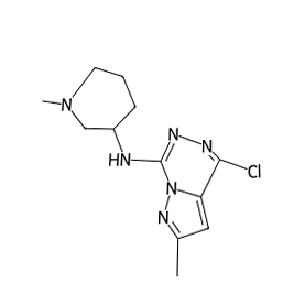 Cc1cc2c(Cl)nnc(NC3CCCN(C)C3)n2n1